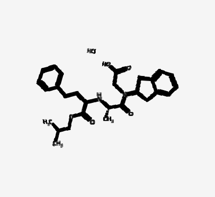 CC(C)COC(=O)C(CCc1ccccc1)N[C@@H](C)C(=O)N(CC(=O)O)C1Cc2ccccc2C1.Cl